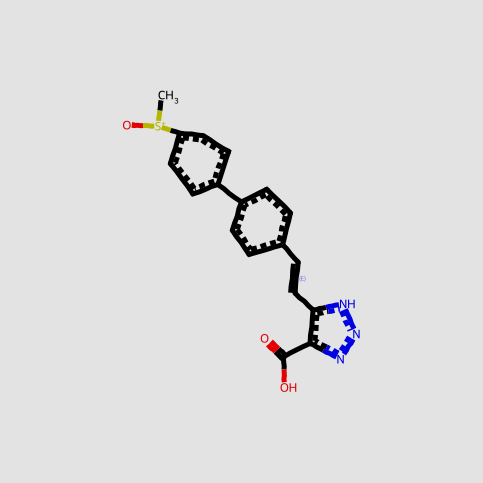 C[S+]([O-])c1ccc(-c2ccc(/C=C/c3[nH]nnc3C(=O)O)cc2)cc1